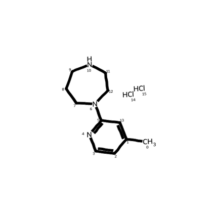 Cc1ccnc(N2CCCNCC2)c1.Cl.Cl